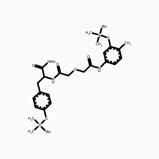 CNC(=O)C(Cc1ccc(O[Si](C)(C)C(C)(C)C)cc1)NC(=O)COCC(=O)Nc1ccc(C)c(O[Si](C)(C)C(C)(C)C)c1